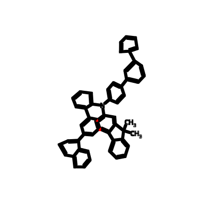 CC1(C)c2ccccc2-c2ccc(N(c3ccc(-c4cccc(-c5ccccc5)c4)cc3)c3ccccc3-c3cccc(-c4cccc5ccccc45)c3)cc21